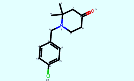 CC1(C)CC(=O)CCN1Cc1ccc(Cl)cc1